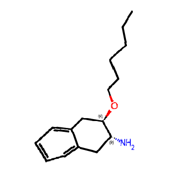 CCCCCCO[C@@H]1Cc2ccccc2C[C@H]1N